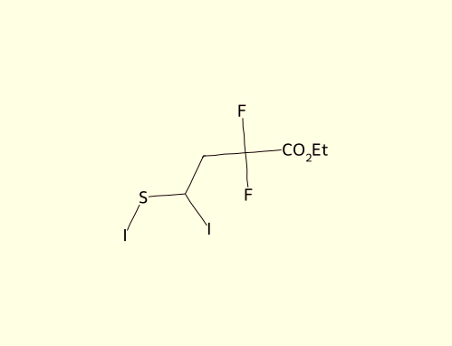 CCOC(=O)C(F)(F)CC(I)SI